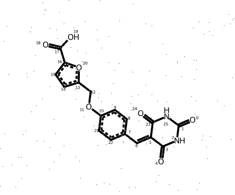 O=C1NC(=O)C(=Cc2ccc(OCc3ccc(C(=O)O)o3)cc2)C(=O)N1